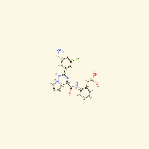 NCc1cc(F)cc(-c2nc(C(=O)Nc3ccccc3CC(=O)O)c3cccn3n2)c1